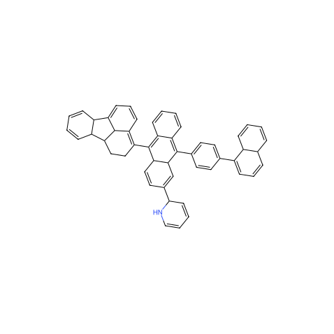 C1=CNC(C2=CC3C(c4ccc(C5=CC=CC6C=CC=CC56)cc4)=c4ccccc4=C(C4=C5C=CC=C6C7C=CC=CC7C(CC4)C65)C3C=C2)C=C1